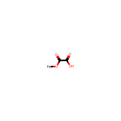 O=C(O)C(=O)[O][Fe]